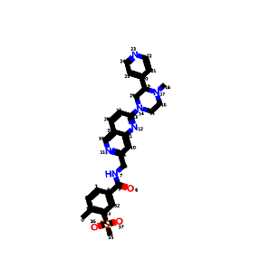 Cc1ccc(C(=O)NCc2cc3nc(N4CCN(C)C(c5ccncc5)C4)ccc3cn2)cc1S(C)(=O)=O